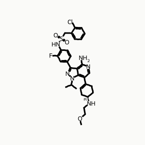 COCCN[C@H]1CC=C(c2cnc(N)c3c(-c4ccc(NS(=O)(=O)Cc5ccccc5Cl)c(F)c4)nn(C(C)C)c23)CC1